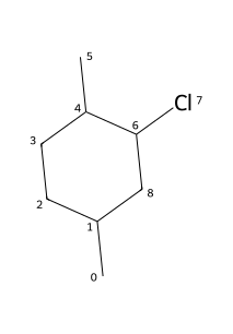 CC1CCC(C)C(Cl)C1